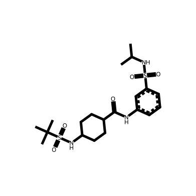 CC(C)NS(=O)(=O)c1cccc(NC(=O)C2CCC(NS(=O)(=O)C(C)(C)C)CC2)c1